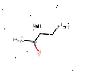 CCCCCCCC(O)C(=O)O.[NaH]